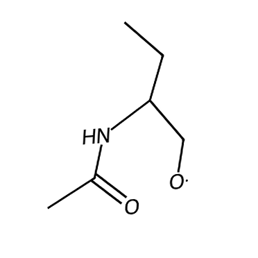 CCC(C[O])NC(C)=O